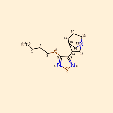 CC(C)CCCSc1nsnc1C1CN2CCCC1C2